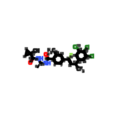 C[C@@H](NC(=O)c1ccc(/C(F)=C/C(c2cc(Cl)c(Cl)c(Cl)c2)C(F)(F)F)cc1C(F)(F)F)NC(=O)C1(C#N)CC1